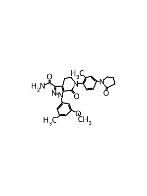 COc1cc(C)cc(-n2nc(C(N)=O)c3c2C(=O)N(c2ccc(N4CCCC4=O)cc2C)CC3)c1